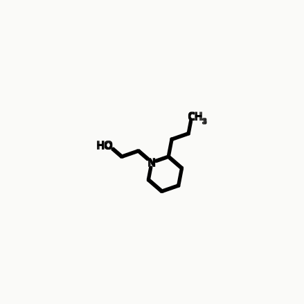 CCCC1CCCCN1CCO